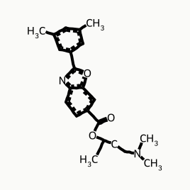 Cc1cc(C)cc(-c2nc3ccc(C(=O)OC(C)CCN(C)C)cc3o2)c1